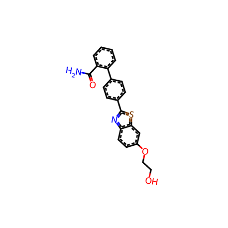 NC(=O)c1ccccc1-c1ccc(-c2nc3ccc(OCCO)cc3s2)cc1